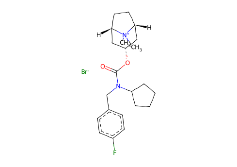 C[N+]1(C)[C@@H]2CC[C@H]1C[C@@H](OC(=O)N(Cc1ccc(F)cc1)C1CCCC1)C2.[Br-]